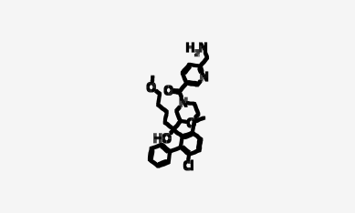 CCc1ccc(Cl)c(-c2ccccc2)c1C(O)(CCCCOC)C1CN(C(=O)c2ccc(CN)nc2)CCO1